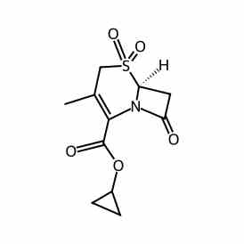 CC1=C(C(=O)OC2CC2)N2C(=O)C[C@@H]2S(=O)(=O)C1